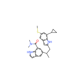 CSc1cc(C2CC2)c2[nH]c(CC(C)c3cc(C(=O)N(C)C)c4[nH]ccc4c3)cc2c1